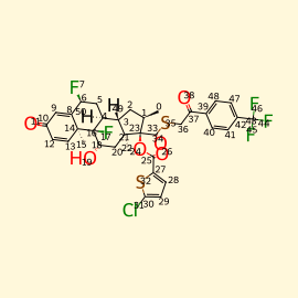 C[C@@H]1C[C@H]2[C@@H]3C[C@H](F)C4=CC(=O)C=C[C@]4(C)[C@@]3(F)[C@@H](O)C[C@]2(C)[C@@]1(OC(=O)c1ccc(Cl)s1)C(=O)SCC(=O)c1ccc(C(F)(F)F)cc1